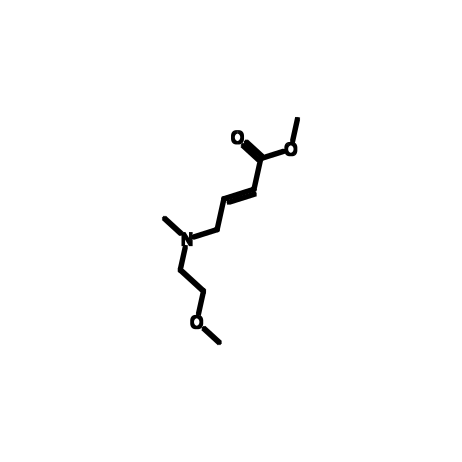 COCCN(C)CC=CC(=O)OC